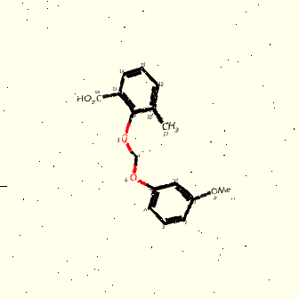 COc1cccc(OCOc2c(C)cccc2C(=O)O)c1